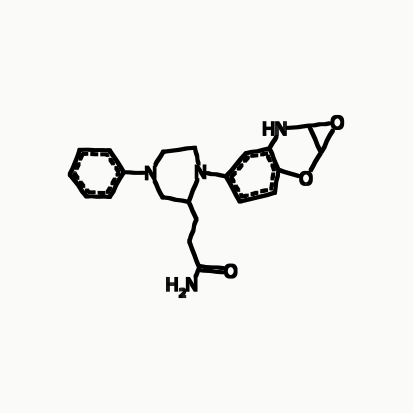 NC(=O)CCC1CN(c2ccccc2)CCN1c1ccc2c(c1)NC1OC1O2